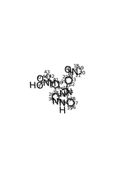 O=C(O)NC1(c2ccc(-c3c(-c4ccc(C(=O)N5CCCC5)cc4)nc4n3-c3cccnc3Nc3ccccc3-4)cc2)CCC1